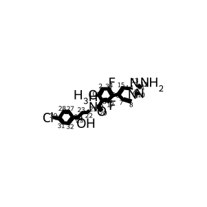 Cc1cc(F)c(-c2ccn3nc(N)nc3c2)c(F)c1C(=O)NCC[C@@H](O)c1ccc(Cl)cc1